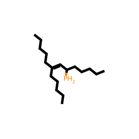 CCCCCC(=CC(P)CCCCC)CCCCC